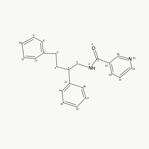 O=C(NCC(CCc1ccccc1)c1ccccc1)c1cccnc1